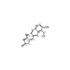 CCSc1c(C#N)cnc2ccc(/C=S3/CC(=O)N=C3N)cc12